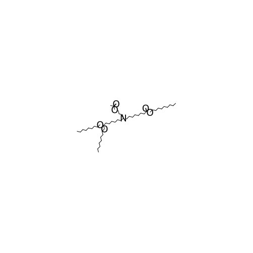 CCCCCCCCCOC(=O)CCCCCCCN(CCCCCCC(OCCCCCCCC)OCCCCCCCC)CCCOC(C)=O